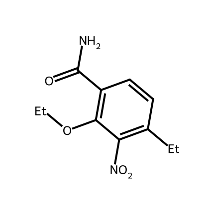 CCOc1c(C(N)=O)ccc(CC)c1[N+](=O)[O-]